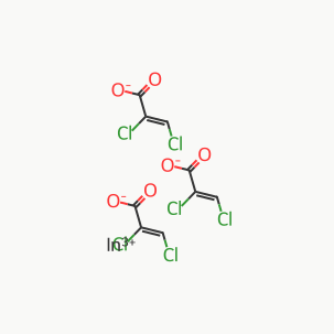 O=C([O-])/C(Cl)=C/Cl.O=C([O-])/C(Cl)=C/Cl.O=C([O-])/C(Cl)=C/Cl.[In+3]